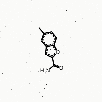 Cc1ccc2oc(C(N)=O)cc2c1